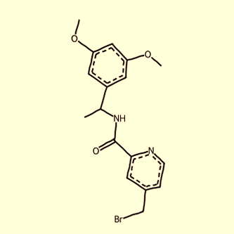 COc1cc(OC)cc(C(C)NC(=O)c2cc(CBr)ccn2)c1